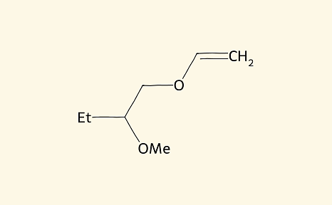 C=COCC(CC)OC